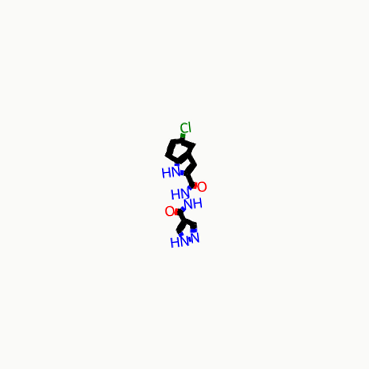 O=C(NNC(=O)c1cc2cc(Cl)ccc2[nH]1)c1cn[nH]c1